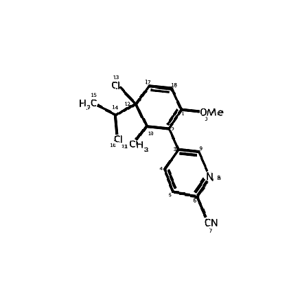 COC1=C(c2ccc(C#N)nc2)C(C)C(Cl)(C(C)Cl)C=C1